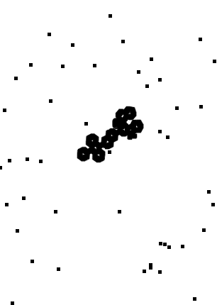 CC1(C)c2ccccc2-c2c1cc(-c1ccc3cc(-c4c5ccccc5c(-c5ccccc5)c5ccccc45)ccc3c1)c1oc3ccc4ccccc4c3c21